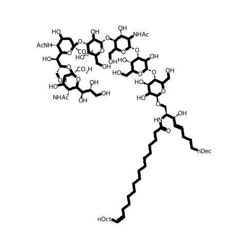 CCCCCCCC/C=C\CCCCCCCCCCCCCC(=O)N[C@@H](CO[C@@H]1OC(CO)[C@@H](O[C@@H]2OC(CO)[C@H](O)[C@H](O[C@@H]3OC(CO)[C@@H](O[C@@H]4OC(CO)[C@H](O)[C@H](O[C@]5(C(=O)O)CC(O)[C@@H](NC(C)=O)C([C@H](O)[C@@H](CO)O[C@]6(C(=O)O)CC(O)[C@@H](NC(C)=O)C([C@H](O)[C@H](O)CO)O6)O5)C4O)[C@H](O)C3NC(C)=O)C2O)[C@H](O)C1O)[C@H](O)/C=C/CCCCCCCCCCCCC